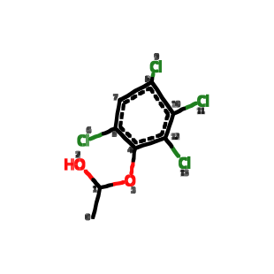 CC(O)Oc1c(Cl)cc(Cl)c(Cl)c1Cl